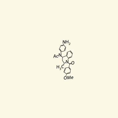 COc1ccc(C(=O)N2c3ccccc3[C@H](N(C(C)=O)c3ccc(N)cc3)C[C@@H]2C)cc1